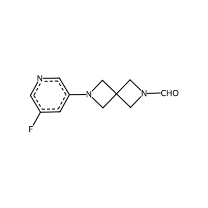 O=CN1CC2(C1)CN(c1cncc(F)c1)C2